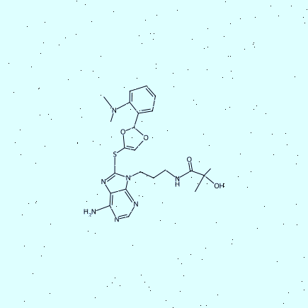 CN(C)c1ccccc1C1OC=C(Sc2nc3c(N)ncnc3n2CCCNC(=O)C(C)(C)O)O1